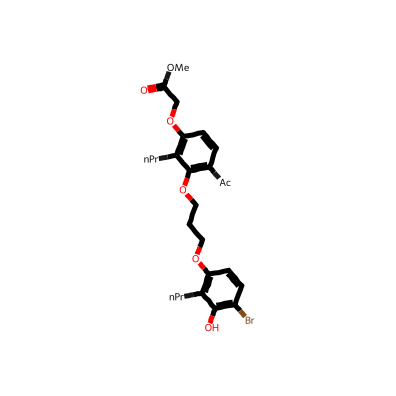 CCCc1c(OCCCOc2c(C(C)=O)ccc(OCC(=O)OC)c2CCC)ccc(Br)c1O